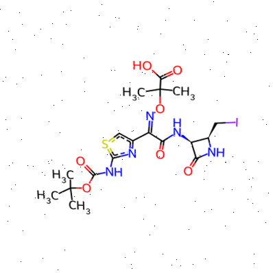 CC(C)(C)OC(=O)Nc1nc(/C(=N/OC(C)(C)C(=O)O)C(=O)N[C@@H]2C(=O)N[C@@H]2CI)cs1